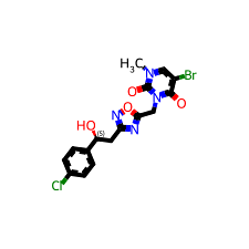 Cn1cc(Br)c(=O)n(Cc2nc(C[C@H](O)c3ccc(Cl)cc3)no2)c1=O